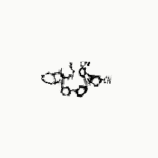 C=C/C=N\C1=C(C)C2CCCCCC2N1c1cccc(-c2cccc(-n3c4c(c5cc(C#N)ccc53)C=C(C#N)CC4)c2)c1